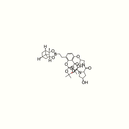 CC(C)(C)OC(=O)Oc1c(CCB2O[C@@H]3C[C@@H]4C[C@@H](C4(C)C)[C@]3(C)O2)ccc(OC2CN(C(=O)C3C[C@@H](O)CN3C(=O)O)C2)c1C(=O)OC(C)(C)C